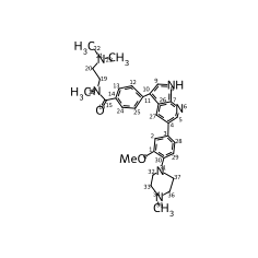 COc1cc(-c2cnc3[nH]cc(-c4ccc(C(=O)N(C)CCN(C)C)cc4)c3c2)ccc1N1CCN(C)CC1